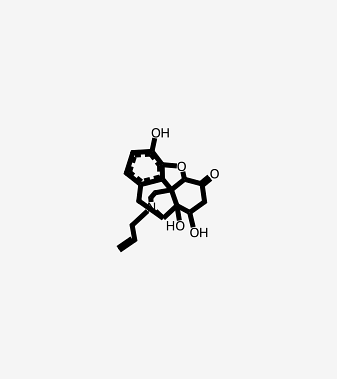 C=CCN1CCC23c4c5ccc(O)c4OC2C(=O)CC(O)C3(O)C1C5